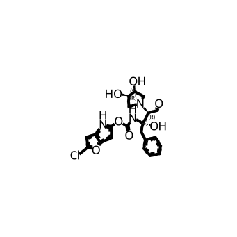 O=C[C@H](N1C[C@@H](O)[C@@H](O)C1)[C@@](O)(Cc1ccccc1)NC(=O)Oc1cc2oc(Cl)cc2[nH]1